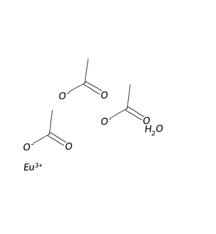 CC(=O)[O-].CC(=O)[O-].CC(=O)[O-].O.[Eu+3]